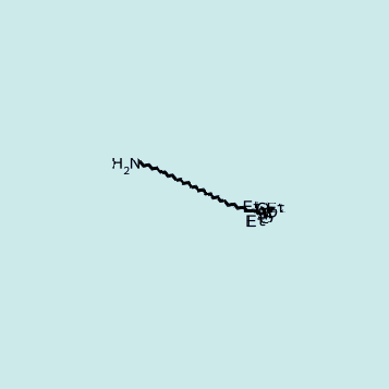 CCO[Si](CCCCCCCCCCCCCCCCCCCCCCCCCCCCCCN)(OCC)OCC